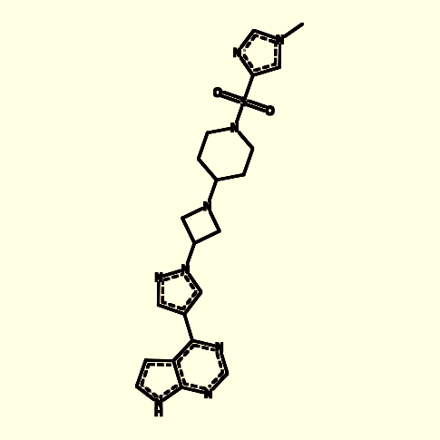 Cn1cnc(S(=O)(=O)N2CCC(N3CC(n4cc(-c5ncnc6[nH]ccc56)cn4)C3)CC2)c1